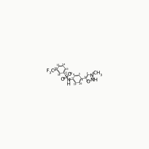 CN1C=C(c2ccc(NS(=O)(=O)c3cccc(C(F)(F)F)c3)cc2)ON1